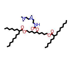 CCCCCCCCC(CCCCCC)C(=O)OCCCCC(CCCCOC(=O)C(CCCCCC)CCCCCCCC)OC(=O)NCCN(C)CCN(C)C